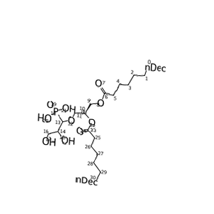 CCCCCCCCCCCCCCCC(=O)OC[C@H](COC(C(O)CO)P(=O)(O)O)OC(=O)CCCCCCCCCCCCCCC